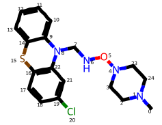 CN1CCN(ONCN2c3ccccc3Sc3ccc(Cl)cc32)CC1